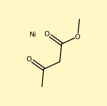 COC(=O)CC(C)=O.[Ni]